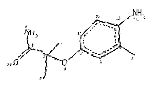 Cc1cc(OC(C)(C)C(N)=O)ccc1N